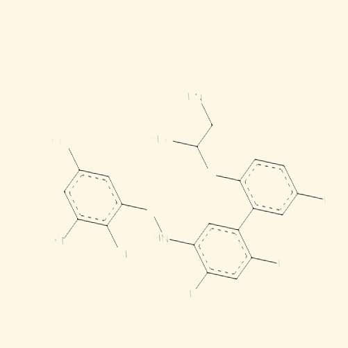 CC(CN)Oc1ccc(F)cc1-c1cc(NSc2cc(C=O)cc(Cl)c2O)c(F)cc1F